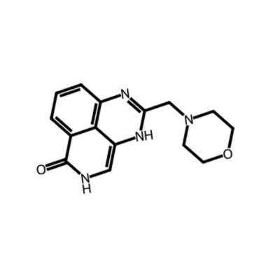 O=c1[nH]cc2c3c(cccc13)N=C(CN1CCOCC1)N2